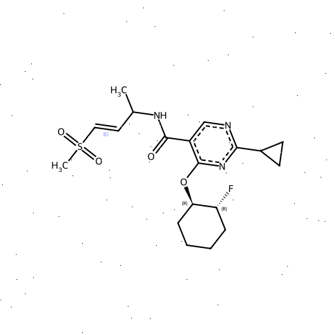 CC(/C=C/S(C)(=O)=O)NC(=O)c1cnc(C2CC2)nc1O[C@@H]1CCCC[C@H]1F